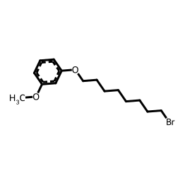 COc1cccc(OCCCCCCCCBr)c1